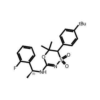 C[C@H](NC1=NS(=O)(=O)C(c2ccc(C(C)(C)C)cc2)C(C)(C)O1)c1ccccc1F